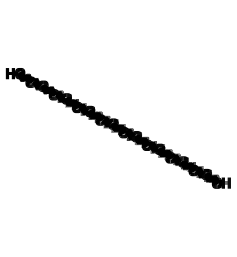 OCCOCCOCCOCCOCCOCCOCCOCCOCCOCCOCCOCCOCCOCCOCCOCCOCCO